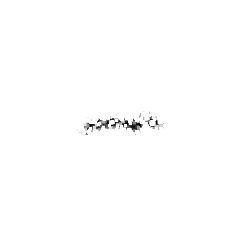 CC(c1ccc(Br)cc1)c1csc(NC(=O)NCc2ccc(N3CCN(C(=O)OC(C)(C)C)CC3)cc2)n1